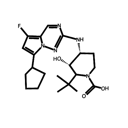 CC(C)(C)C1[C@H](O)[C@H](Nc2ncc3c(F)cc(C4CCCC4)n3n2)CCN1C(=O)O